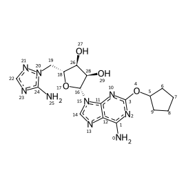 Nc1nc(OC2CCCC2)nc2c1ncn2[C@@H]1O[C@H](Cn2ncnc2N)[C@@H](O)[C@H]1O